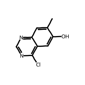 Cc1cc2ncnc(Cl)c2cc1O